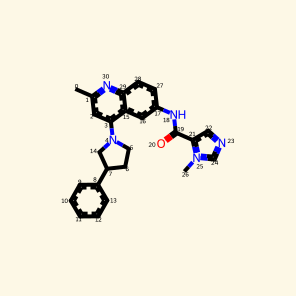 Cc1cc(N2CCC(c3ccccc3)C2)c2cc(NC(=O)c3cncn3C)ccc2n1